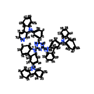 c1cc(-c2nc(-n3c4ccccc4c4cc(-n5c6ccccc6c6ccccc65)ccc43)nc(-n3c4ccccc4c4cc(-n5c6ccccc6c6ccccc65)ccc43)n2)cc(-n2c3ccccc3c3ccncc32)c1